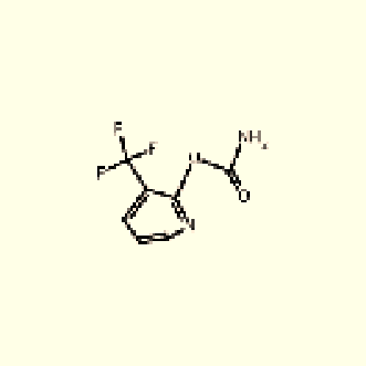 NC(=O)Oc1ncccc1C(F)(F)F